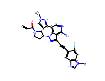 C=CC(=O)N1CC[C@H](n2nc(C#Cc3cc4ncn(CC)c4cc3F)c3c(N)ncc(-c4ccn(C)n4)c32)C1